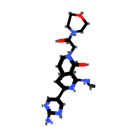 CC(C)(C)Nc1nc(-c2cnc(N)nc2)cc2ccn(CC(=O)N3CCOCC3)c(=O)c12